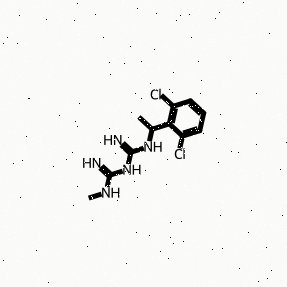 CNC(=N)NC(=N)NC(C)c1c(Cl)cccc1Cl